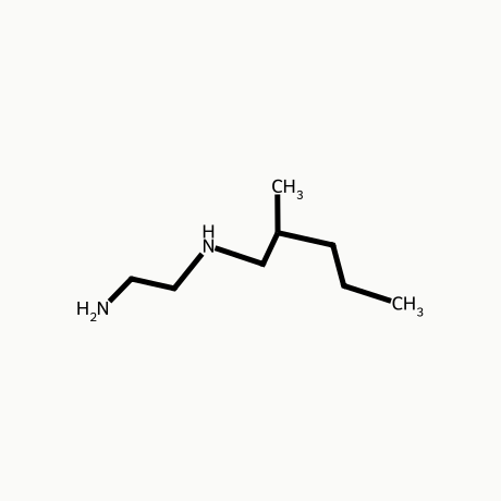 CCCC(C)CNCCN